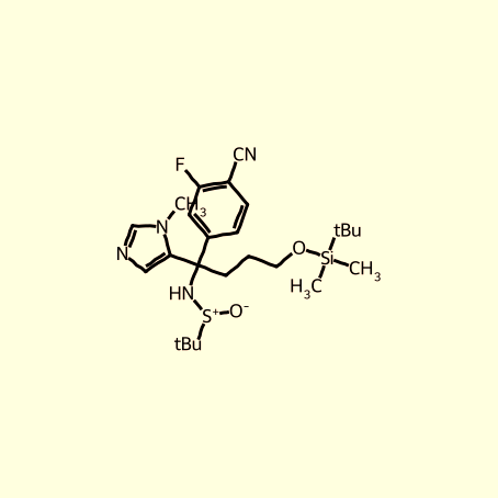 Cn1cncc1C(CCCO[Si](C)(C)C(C)(C)C)(N[S+]([O-])C(C)(C)C)c1ccc(C#N)c(F)c1